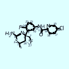 CC1SC(N)=N[C@](CF)(c2cc(NC(=O)c3ccc(Cl)cn3)ccc2F)[C@@H]1C